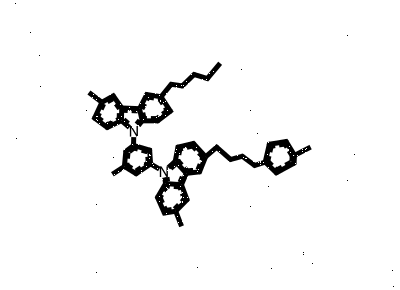 CCCCCc1ccc2c(c1)c1cc(C)ccc1n2-c1cc(C)cc(-n2c3ccc(C)cc3c3cc(CCCCc4ccc(C)cc4)ccc32)c1